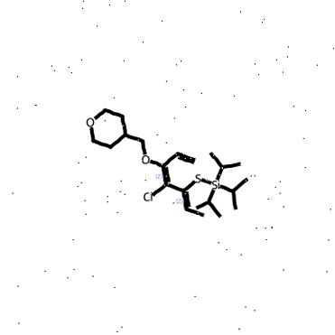 C=C/C(OCC1CCOCC1)=C(Cl)\C(=C\C)S[Si](C(C)C)(C(C)C)C(C)C